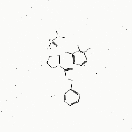 CN(C)S(=O)(=O)N[C@H]1[C@@H](F)CN(C(=O)OCc2ccccc2)[C@H]1Cc1cccc(Cl)c1F